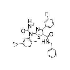 Cc1ccc(C2CC2)cc1N(C(N)=O)c1nc(-c2cccc(F)c2)c(C(=O)NCc2ccccc2)s1